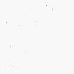 COc1cc(S(C)(=O)=O)ccc1NCC#Cc1cc2c(N[C@H]3CC[C@@](C)(N4CC5(CCOCC5)C4)CC3)cccc2n1CC(F)(F)F